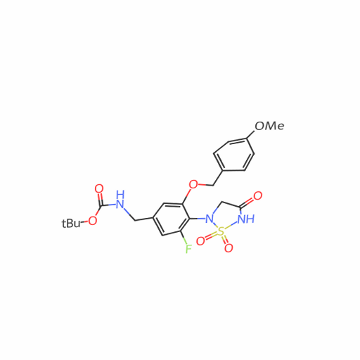 COc1ccc(COc2cc(CNC(=O)OC(C)(C)C)cc(F)c2N2CC(=O)NS2(=O)=O)cc1